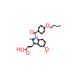 CCCCOc1ccc(C(=O)n2c(C)c(/C=C/C(=O)O)c3cc(OC)ccc32)cc1